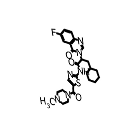 CN1CCN(C(=O)c2cnc(NC(=O)C(CC3CCCCC3)n3cnc4ccc(F)cc4c3=O)s2)CC1